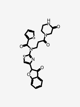 O=C1CN(C(=O)CCN(C(=O)c2cccs2)c2nc(C3Oc4ccccc4C3=O)cs2)CCN1